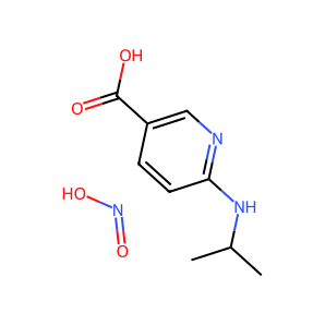 CC(C)Nc1ccc(C(=O)O)cn1.O=NO